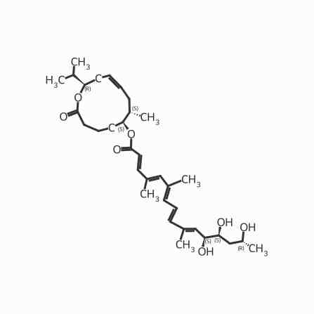 CC(=CC=CC(C)=C[C@H](O)[C@@H](O)C[C@@H](C)O)C=C(C)C=CC(=O)O[C@H]1CCCC(=O)O[C@@H](C(C)C)CC=CC[C@@H]1C